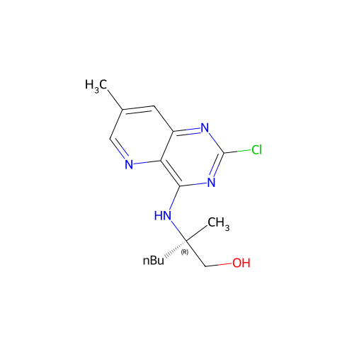 CCCC[C@](C)(CO)Nc1nc(Cl)nc2cc(C)cnc12